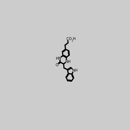 O=C(O)CCc1ccc2c(c1)NC(=O)C(Cc1c[nH]c3ccccc13)N2